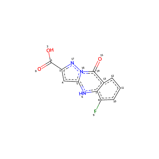 O=C(O)c1cc2[nH]c3c(F)cccc3c(=O)n2n1